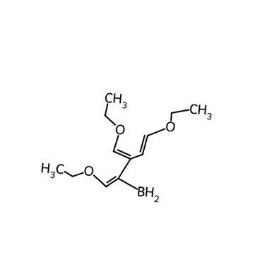 B/C(=C/OCC)C(C=COCC)=COCC